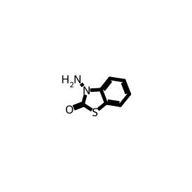 Nn1c(=O)sc2ccccc21